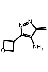 C=C1N=NC(C2COC2)=C1N